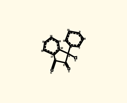 O=C1C(=O)C(Cl)(c2ccccc2)c2ccccc21